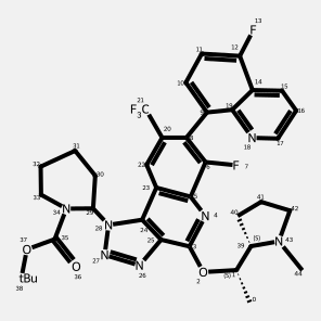 C[C@H](Oc1nc2c(F)c(-c3ccc(F)c4cccnc34)c(C(F)(F)F)cc2c2c1nnn2C1CCCCN1C(=O)OC(C)(C)C)[C@@H]1CCCN1C